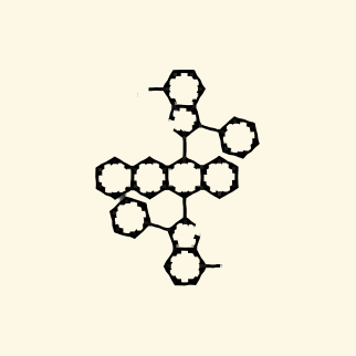 Cc1cccc2c(-c3ccccc3)c(-c3c4ccccc4c(-c4oc5c(C)cccc5c4-c4ccccc4)c4cc5ccccc5cc34)oc12